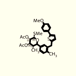 COc1ccc(-c2ccc(Cc3cc(C4O[C@H](SC)[C@@H](OC(C)=O)[C@H](OC(C)=O)[C@H]4C)ccc3C)s2)cc1